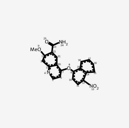 COc1cc2nccc(Oc3ccc([N+](=O)[O-])c4ccccc34)c2cc1C(N)=O